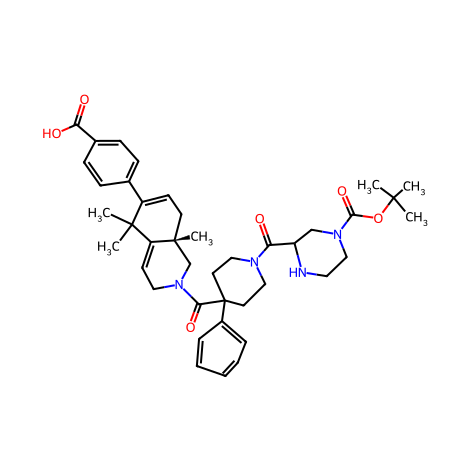 CC(C)(C)OC(=O)N1CCNC(C(=O)N2CCC(C(=O)N3CC=C4C(C)(C)C(c5ccc(C(=O)O)cc5)=CC[C@]4(C)C3)(c3ccccc3)CC2)C1